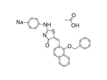 CC(=O)O.O=C1N=C(Nc2cc[c]([Na])cc2)SC1=Cc1ccc2ccccc2c1OCc1ccccc1